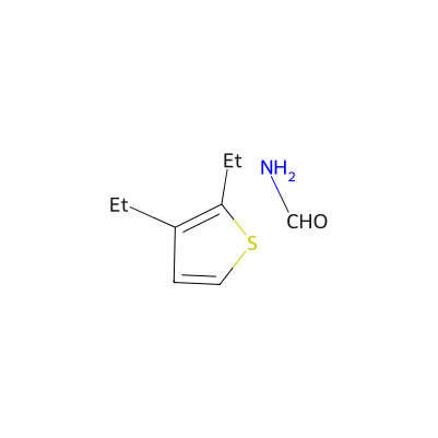 CCc1ccsc1CC.NC=O